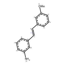 COc1cccc(/C=C/c2cccc(N)c2)c1